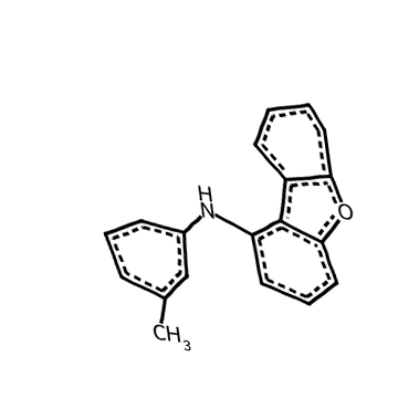 Cc1cccc(Nc2cccc3oc4ccccc4c23)c1